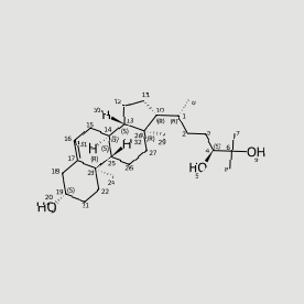 C[C@H](CC[C@H](O)C(C)(C)O)[C@H]1CC[C@H]2[C@@H]3CC=C4C[C@@H](O)CC[C@]4(C)[C@H]3CC[C@]12C